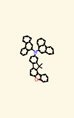 CC1(C)c2cc(N(c3cc4ccccc4c4ccccc34)c3cc4ccccc4c4ccccc34)ccc2-c2ccc3oc4ccccc4c3c21